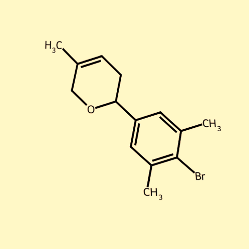 CC1=CCC(c2cc(C)c(Br)c(C)c2)OC1